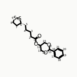 O=C(CCCC[C@@H]1CCSS1)OC1COC(c2ccccc2)OC1